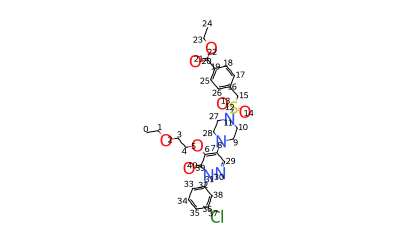 CCOCCOc1c(N2CCN(S(=O)(=O)Cc3ccc(C(=O)OCC)cc3)CC2)cnn(-c2cccc(Cl)c2)c1=O